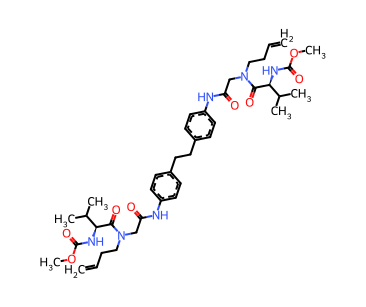 C=CCCN(CC(=O)Nc1ccc(CCc2ccc(NC(=O)CN(CCC=C)C(=O)[C@@H](NC(=O)OC)C(C)C)cc2)cc1)C(=O)[C@@H](NC(=O)OC)C(C)C